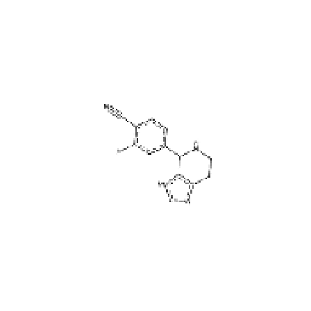 N#Cc1ccc(C2NCCc3nc[nH]c32)cc1F